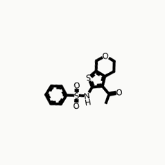 CC(=O)c1c(NS(=O)(=O)c2ccccc2)sc2c1CCOC2